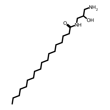 CCCCCCCCCCCCCCCCCC(=O)NCC(O)CN